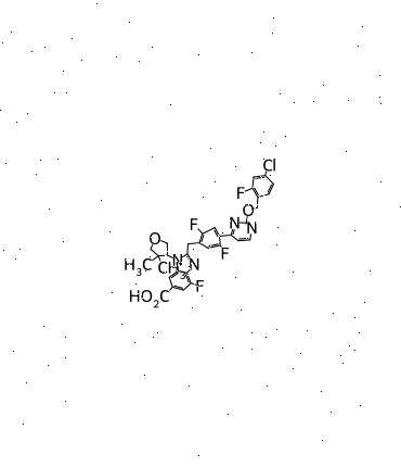 CC1(C)COCC1n1c(Cc2cc(F)c(-c3ccnc(OCc4ccc(Cl)cc4F)n3)cc2F)nc2c(F)cc(C(=O)O)cc21